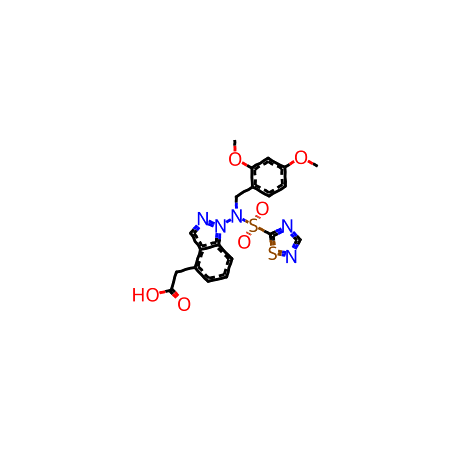 COc1ccc(CN(n2ncc3c(CC(=O)O)cccc32)S(=O)(=O)c2ncns2)c(OC)c1